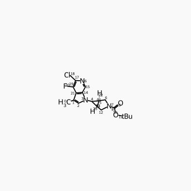 Cc1cn(C2[C@H]3CN(C(=O)OC(C)(C)C)C[C@@H]23)c2cnc(Cl)c(F)c12